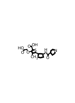 Cc1c(-c2cccc(NC(=O)c3ccncc3)c2)sc(C(=O)O)c1OCC(=O)O